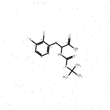 CC(C)(C)OC(=O)NC(Cc1cccc(F)c1F)C(=O)O